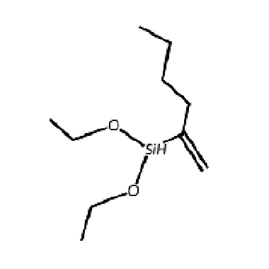 C=C(CCCC)[SiH](OCC)OCC